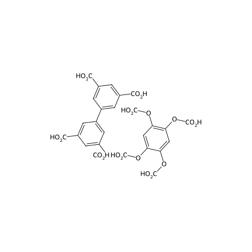 O=C(O)Oc1cc(OC(=O)O)c(OC(=O)O)cc1OC(=O)O.O=C(O)c1cc(C(=O)O)cc(-c2cc(C(=O)O)cc(C(=O)O)c2)c1